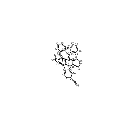 N#Cc1ccc2c3cccc4c3n(c2c1)-c1ccccc1B4n1c2ccccc2c2cccc(-c3ccccc3)c21